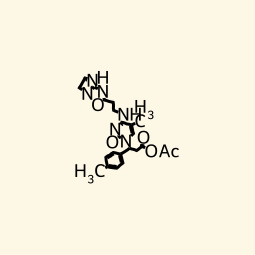 CC(=O)OC(=O)CC(c1ccc(C)cc1)n1cc(C)c(NCCC(=O)NC2=NCC=N2)nc1=O